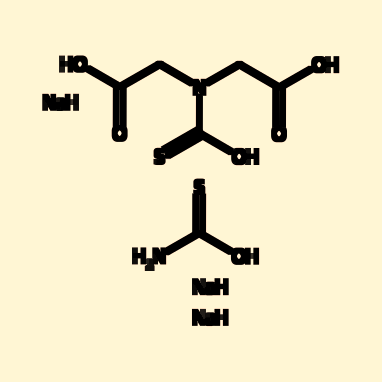 NC(O)=S.O=C(O)CN(CC(=O)O)C(O)=S.[NaH].[NaH].[NaH]